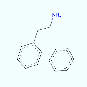 NCCc1ccccc1.c1ccccc1